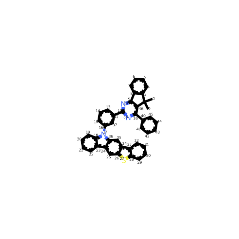 CC1(C)c2ccccc2-c2nc(-c3cccc(-n4c5ccccc5c5cc6sc7ccccc7c6cc54)c3)nc(-c3ccccc3)c21